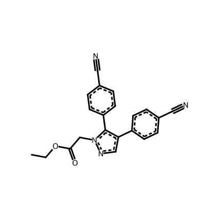 CCOC(=O)Cn1ncc(-c2ccc(C#N)cc2)c1-c1ccc(C#N)cc1